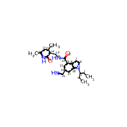 CCC(CC)n1ccc2c(C(=O)NCc3c(C)cc(C)[nH]c3=O)cc(C=N)cc21